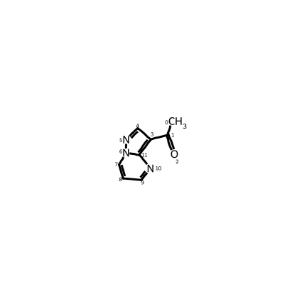 CC(=O)c1cnn2cccnc12